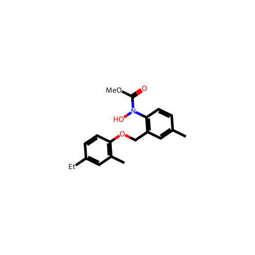 CCc1ccc(OCc2cc(C)ccc2N(O)C(=O)OC)c(C)c1